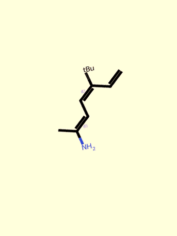 C=C/C(=C\C=C(/C)N)C(C)(C)C